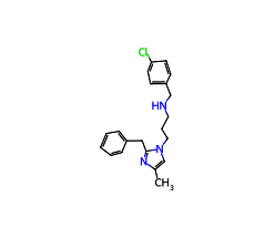 Cc1cn(CCCNCc2ccc(Cl)cc2)c(Cc2ccccc2)n1